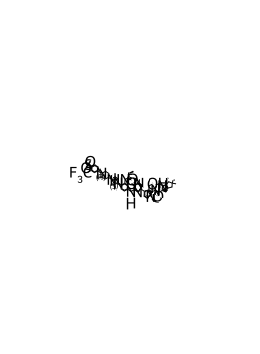 C=CC(=O)Nc1cc(Nc2nc(-c3ccnc(N4CCn5c(cc6c5CC(C)(C)C6)C4=O)c3CO)cn(C)c2=O)ccc1N1CCN(C2CCN(c3ccc(S(C)(=O)=O)c(C(F)(F)F)c3)[C@H](C)C2)C[C@@H]1C